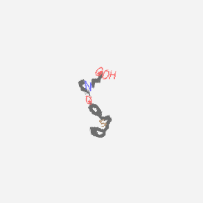 O=C(O)CCCN1CCC[C@H]1COc1ccc(-c2ccc(Cc3ccccc3)s2)cc1